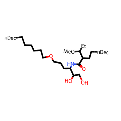 CCCCCCCCCCCCCCCCOCCCC(NC(=O)C(CCCCCCCCCCCC)C(CC)OC)C(O)CO